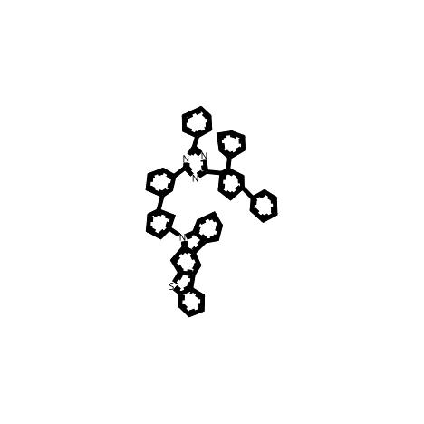 c1ccc(-c2ccc(-c3nc(-c4ccccc4)nc(-c4cccc(-c5cccc(-n6c7ccccc7c7cc8c(cc76)sc6ccccc68)c5)c4)n3)c(-c3ccccc3)c2)cc1